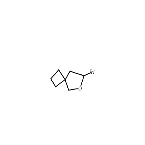 [2H]C1CC2(CCC2)CO1